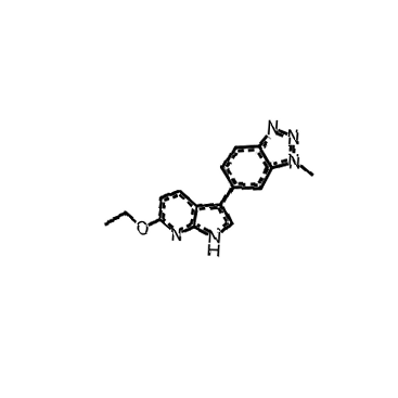 CCOc1ccc2c(-c3ccc4nnn(C)c4c3)c[nH]c2n1